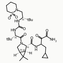 CC(C)(C)[C@H](NC(=O)N[C@H](CN1CCCCS1(=O)=O)C(C)(C)C)C(=O)N1C[C@H]2[C@@H]([C@H]1C(=O)NC(CC1CC1)C(=O)C(N)=O)C2(C)C